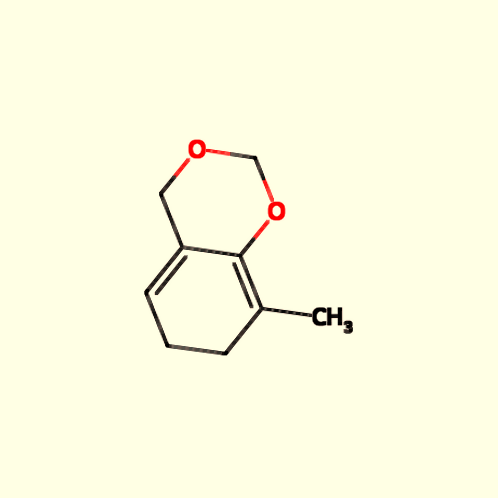 CC1=C2OCOCC2=CCC1